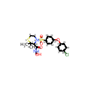 CC1(C)SCCN(S(=O)(=O)c2ccc(Oc3ccc(Cl)cc3)cc2)C1C(=O)NO